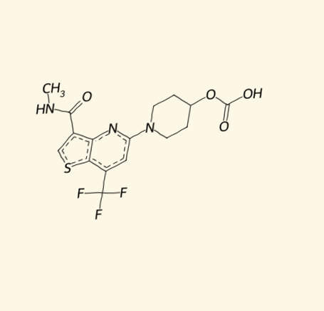 CNC(=O)c1csc2c(C(F)(F)F)cc(N3CCC(OC(=O)O)CC3)nc12